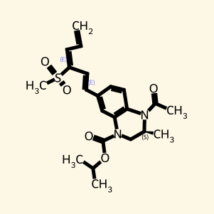 C=C/C=C(\C=C\c1ccc2c(c1)N(C(=O)OC(C)C)C[C@H](C)N2C(C)=O)S(C)(=O)=O